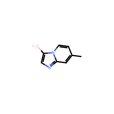 Bc1cnc2cc(C)ccn12